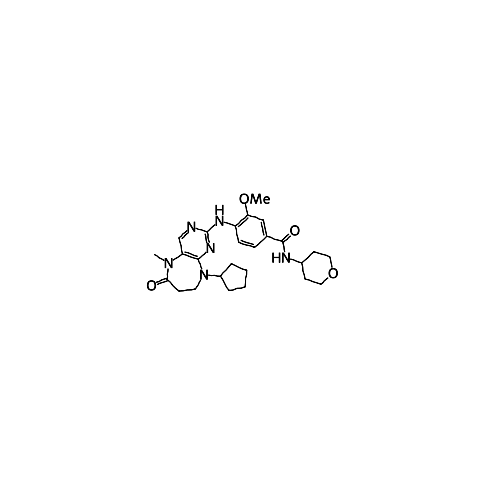 COc1cc(C(=O)NC2CCOCC2)ccc1Nc1ncc2c(n1)N(C1CCCC1)CCC(=O)N2C